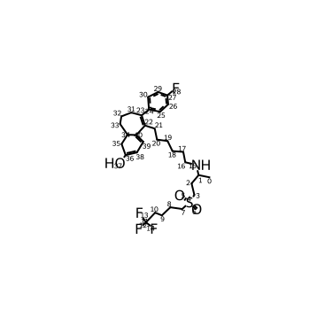 CC(CCS(=O)(=O)CCCCC(F)(F)F)NCCCCCCC1=C(c2ccc(F)cc2)CCCC2CC(O)=CC=C12